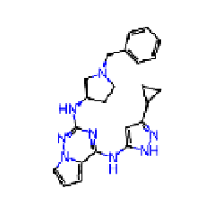 c1ccc(CN2CC[C@@H](Nc3nc(Nc4cc(C5CC5)n[nH]4)c4cccn4n3)C2)cc1